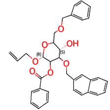 C=CCO[C@@H]1OC(COCc2ccccc2)[C@H](O)C(OCc2ccc3ccccc3c2)C1OC(=O)c1ccccc1